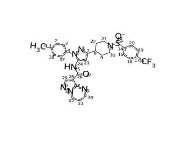 Cc1ccc(-n2nc(C3CCN([S+]([O-])c4ccc(C(F)(F)F)cc4)CC3)cc2NC(=O)c2cnn3cccnc23)cc1